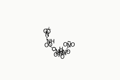 C[C@H](NC(=O)CCN1C(=O)C=CC1=O)C(=O)N[C@@H](C)C(=O)Nc1ccc(COC(=O)NCC2CN(C(=O)OC(C)(C)C)C2)cc1